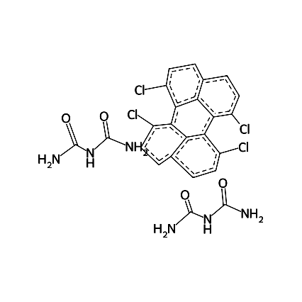 Clc1ccc2ccc(Cl)c3c4c(Cl)ccc5ccc(Cl)c(c1c23)c54.NC(=O)NC(N)=O.NC(=O)NC(N)=O